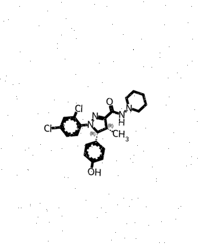 C[C@H]1C(C(=O)NN2CCCCC2)=NN(c2ccc(Cl)cc2Cl)[C@H]1c1ccc(O)cc1